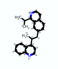 CC(C)c1nccc2ccc(CC(C)c3ccnc4ccccc34)cc12